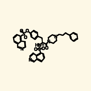 O=C([C@H](Cc1ccc(OS(=O)(=O)c2cccc3cnccc23)cc1)NS(=O)(=O)c1cccc2cnccc12)N1CCN(CCCc2ccccc2)CC1